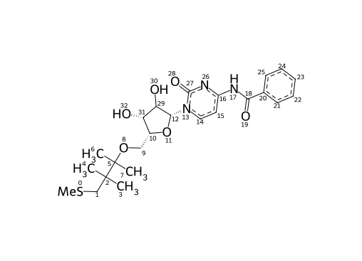 CSCC(C)(C)C(C)(C)OC[C@H]1O[C@@H](n2ccc(NC(=O)c3ccccc3)nc2=O)C(O)[C@H]1O